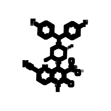 C[C@@H]1CN(c2c([N+](=O)[O-])c(=O)n(C)c3ccc(C#N)nc23)[C@@H](C)CN1C(c1ccc(F)cc1)c1ccc(F)cc1